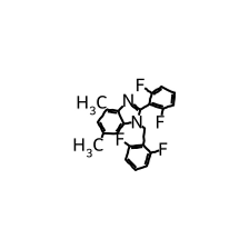 Cc1cc(C)c2nc(-c3c(F)cccc3F)n(Cc3c(F)cccc3F)c2c1